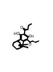 CCCC(=O)c1c(O)c(C(=O)CCC)c2c(c1O)C1CCCC3(O2)OC(C)(C)CC13